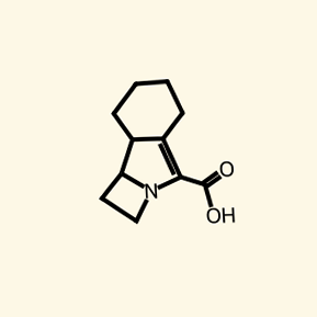 O=C(O)C1=C2CCCCC2C2CCN12